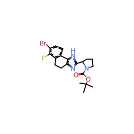 CC(C)(C)OC(=O)N1CCCC1c1nc2c([nH]1)-c1ccc(Br)c(F)c1CC2